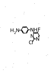 Nc1ccc(Nc2nc(Cl)ncc2F)cc1